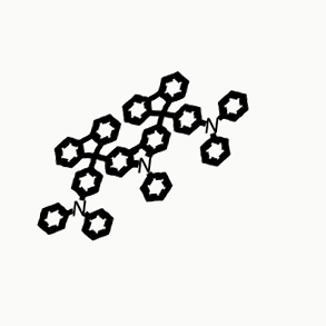 c1ccc(N(c2ccccc2)c2ccc(C3(c4ccc5c(c4)c4cc(C6(c7ccc(N(c8ccccc8)c8ccccc8)cc7)c7ccccc7-c7ccccc76)ccc4n5-c4ccccc4)c4ccccc4-c4ccccc43)cc2)cc1